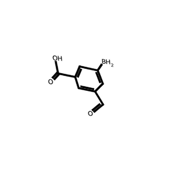 Bc1cc(C=O)cc(C(=O)O)c1